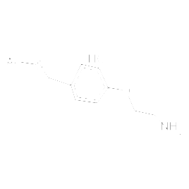 CC(=O)SCc1ccc(OCCN)cc1.Cl